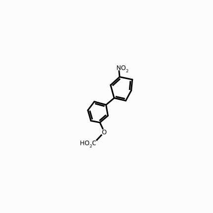 O=C(O)Oc1cccc(-c2cccc([N+](=O)[O-])c2)c1